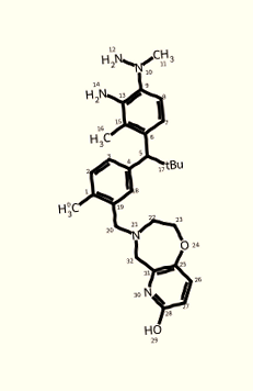 Cc1ccc(C(c2ccc(N(C)N)c(N)c2C)C(C)(C)C)cc1CN1CCOc2ccc(O)nc2C1